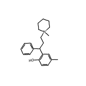 Cc1ccc(O)c(C(CC[N+]2(C)CCCCC2)c2ccccc2)c1